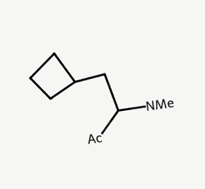 CNC(CC1CCC1)C(C)=O